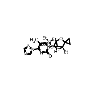 CC[C@]12O[C@@H](n3cc(C)c(-n4cncn4)nc3=O)C(OC13CC3)[C@H]2O[Si](CC)(CC)CC